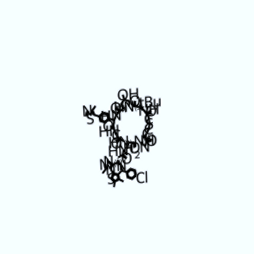 Cc1ncsc1-c1ccc(C2NC(=O)[C@@H]3CC(O)CN3C(=O)[C@H](C(C)(C)C)NC(=O)CSCC[C@H](C(N)=O)NC(=O)[C@@H](CNC(=O)C[C@@H]3N=C(c4ccc(Cl)cc4)c4c(sc(C)c4C)-n4c(C)nnc43)NC(=O)CNC2=O)cc1